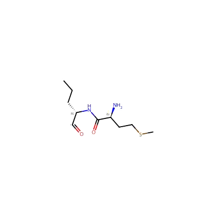 CCC[C@@H]([C]=O)NC(=O)[C@@H](N)CCSC